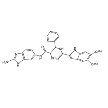 COc1cc2cc(C(=O)NC(c3ccccc3)C(O)C(=O)Nc3ccc4nc(N)[nH]c4c3)[nH]c2cc1OC